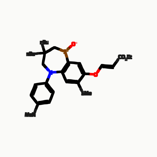 CCCCC1(CCCC)CN(c2ccc(NC)cc2)c2cc(SC)c(O/C=C/C(=O)OCC)cc2[S+]([O-])C1